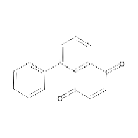 O=C1C=CC(=O)c2c1cccc2-c1ccccc1